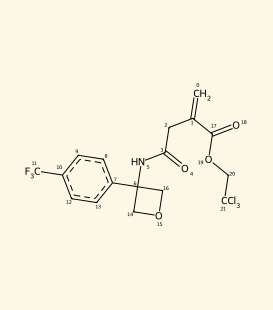 C=C(CC(=O)NC1(c2ccc(C(F)(F)F)cc2)COC1)C(=O)OCC(Cl)(Cl)Cl